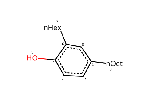 CCCCCCCCc1ccc(O)c(CCCCCC)c1